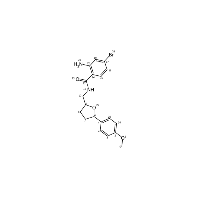 COc1ccc(C2CCC(CNC(=O)c3ccc(Br)cc3N)O2)cc1